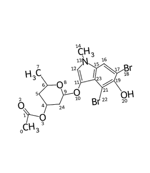 CC(=O)OC1CC(C)OC(Oc2cn(C)c3cc(Br)c(O)c(Br)c23)C1